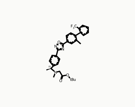 Cc1cc(-c2nc(-c3ccc([C@H](C)N(C)CC(=O)OC(C)(C)C)cc3)no2)ccc1-c1ccccc1C(F)(F)F